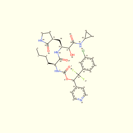 CCCC[C@H](NC(=O)OC(c1ccncc1)C(F)(F)c1cccc(Cl)c1)C(=O)N[C@@H](C[C@@H]1CCNC1=O)C(O)C(=O)NC1CC1